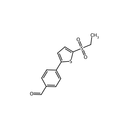 CCS(=O)(=O)c1ccc(-c2ccc(C=O)cc2)s1